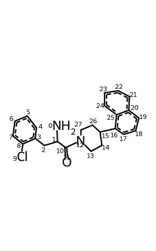 NC(Cc1ccccc1Cl)C(=O)N1CCC(c2cccc3ccccc23)CC1